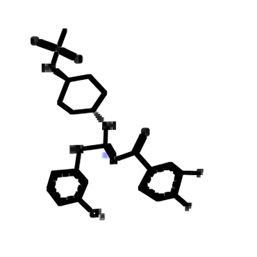 CS(=O)(=O)N[C@H]1CC[C@H](N/C(=N\C(=O)c2ccc(F)c(F)c2)Nc2cccc(C(F)(F)F)c2)CC1